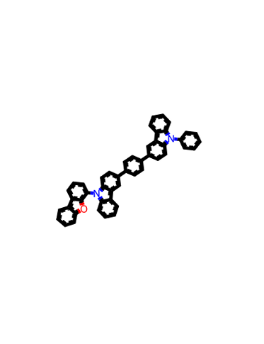 c1ccc(-n2c3ccccc3c3cc(-c4ccc(-c5ccc6c(c5)c5ccccc5n6-c5cccc6c5oc5ccccc56)cc4)ccc32)cc1